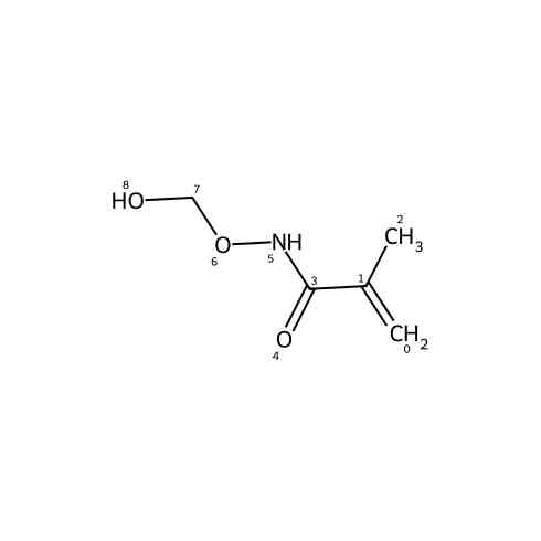 C=C(C)C(=O)NOCO